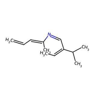 C=C/C=C(C)/N=C\C(=C/C)C(C)C